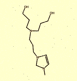 CN1C=CN(CCCN(CCCO)CCCO)C1